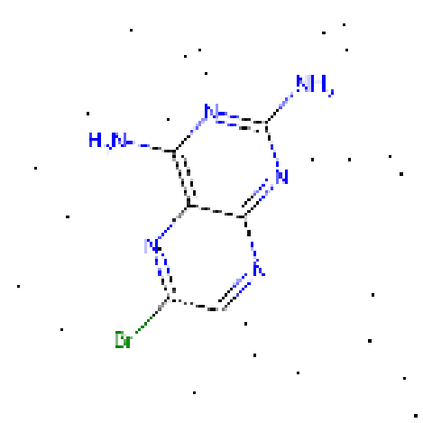 Nc1nc(N)c2nc(Br)cnc2n1